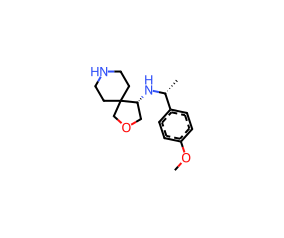 COc1ccc([C@@H](C)N[C@@H]2COCC23CCNCC3)cc1